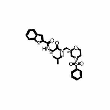 CC(C)C[C@H](NC(=O)c1cc2ccccc2s1)C(=O)NC[C@@H]1CN(S(=O)(=O)c2ccccc2)CCO1